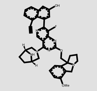 C#Cc1cccc2cc(O)cc(-c3ncc4c(N5C[C@H]6CC[C@@H](C5)N6)nc(OCC56CCCN5Cc5c(OC)cccc56)nc4c3F)c12